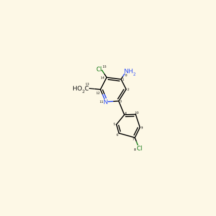 Nc1cc(-c2ccc(Cl)cc2)nc(C(=O)O)c1Cl